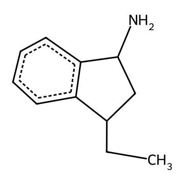 CCC1CC(N)c2ccccc21